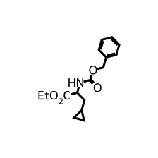 CCOC(=O)C(CC1CC1)NC(=O)OCc1ccccc1